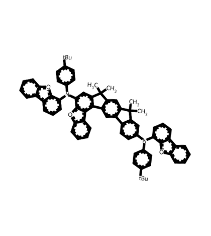 CC(C)(C)c1ccc(N(c2ccc3c(c2)C(C)(C)c2cc4c(cc2-3)-c2c(cc(N(c3ccc(C(C)(C)C)cc3)c3cccc5c3oc3ccccc35)c3oc5ccccc5c23)C4(C)C)c2cccc3c2oc2ccccc23)cc1